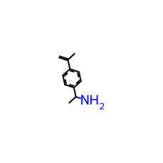 C=C(C)c1ccc(C(C)N)cc1